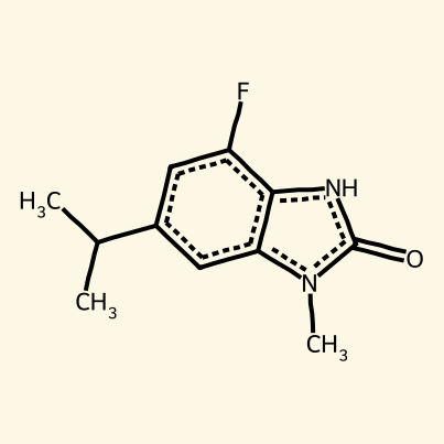 CC(C)c1cc(F)c2[nH]c(=O)n(C)c2c1